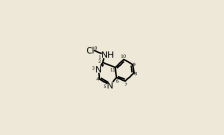 ClNc1ncnc2ccccc12